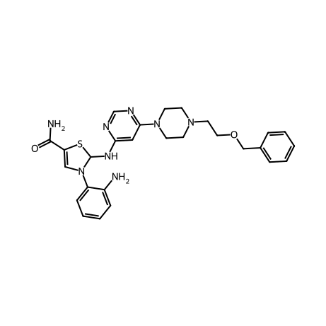 NC(=O)C1=CN(c2ccccc2N)C(Nc2cc(N3CCN(CCOCc4ccccc4)CC3)ncn2)S1